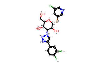 OCC1O[C@H](Sc2cncc(Cl)c2)C(O)C(n2cc(-c3ccc(F)c(F)c3)nn2)[C@H]1O